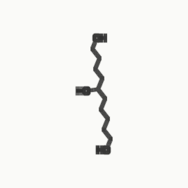 OCCCCCC(O)CCCCO